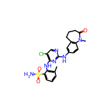 Cc1cccc(S(N)(=O)=O)c1Nc1nc(Nc2ccc3c(c2)CCCC(=O)N3C)ncc1Cl